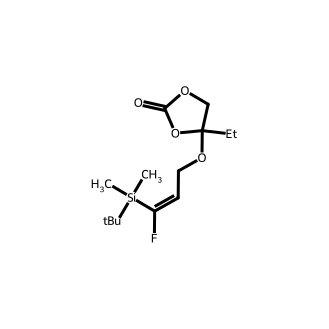 CCC1(OCC=C(F)[Si](C)(C)C(C)(C)C)COC(=O)O1